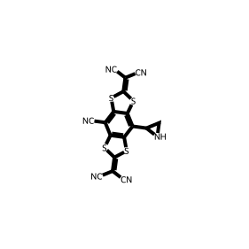 N#CC(C#N)=C1Sc2c(C#N)c3c(c(C4CN4)c2S1)SC(=C(C#N)C#N)S3